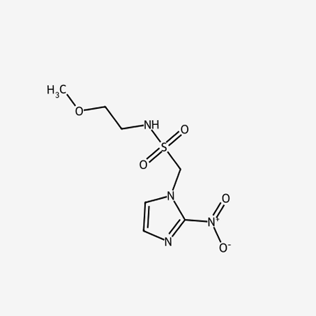 COCCNS(=O)(=O)Cn1ccnc1[N+](=O)[O-]